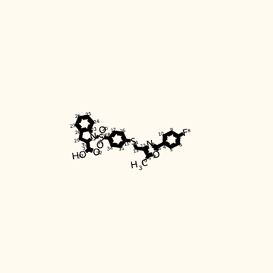 Cc1oc(-c2ccc(F)cc2)nc1CSc1ccc(S(=O)(=O)N2c3ccccc3CC2C(=O)O)cc1